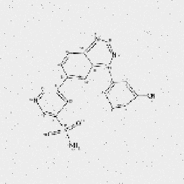 N#Cc1cccc(-c2ncnc3ccc(-c4cncc(S(N)(=O)=O)c4)cc23)c1